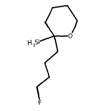 FCCCCC1([SiH3])CCCCO1